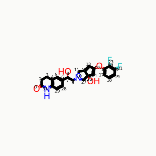 O=C1CCc2cc([C@H](O)CN3CC4=CC(Oc5cccc(F)c5F)=C[C@@]4(O)C3)ccc2N1